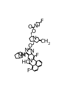 C#Cc1c(F)ccc2cccc(-c3ncc4c(N5CC6CCC(C5)N6)nc(OC[C@@]56CC[C@@H](COC(=O)N7CC(F)C7)N5CC(=C)C6)nc4c3F)c12